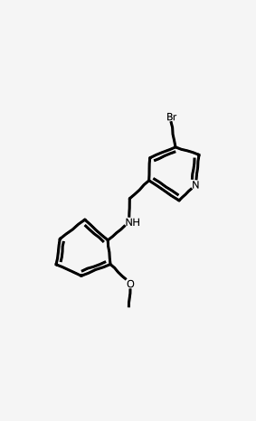 COc1ccccc1NCc1cncc(Br)c1